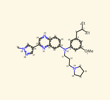 CCC(CC)Cc1cc(OC)cc(N(CCCN2CCCC2)c2ccc3ncc(-c4cnn(C)c4)nc3c2)c1